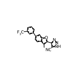 Cc1c(-c2nn[nH]c2C#N)oc2cc(-c3cccc(C(F)(F)F)c3)ccc12